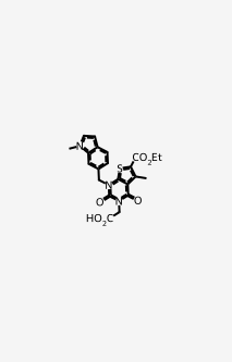 CCOC(=O)c1sc2c(c1C)c(=O)n(CC(=O)O)c(=O)n2Cc1ccc2ccn(C)c2c1